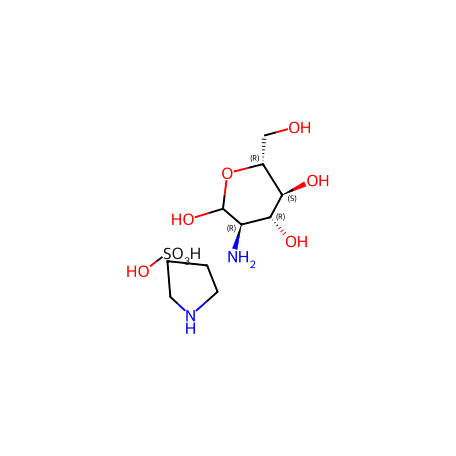 C1CCNC1.N[C@H]1C(O)O[C@H](CO)[C@@H](O)[C@@H]1O.O=S(=O)(O)O